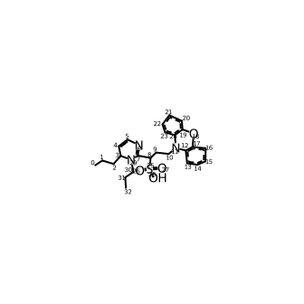 CCCC1C=CN=C(C(CCN2c3ccccc3Oc3ccccc32)S(=O)(=O)O)N1CCC